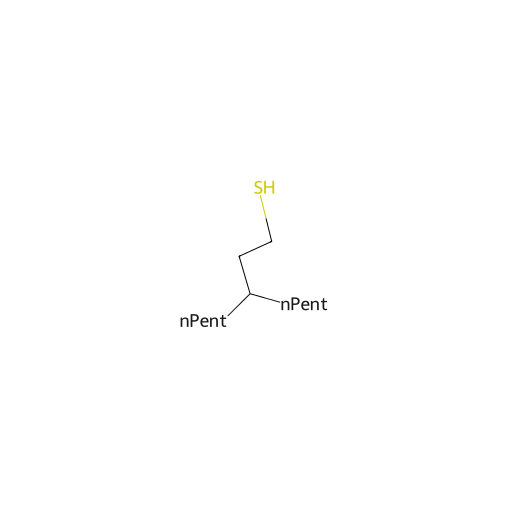 CCCCCC(CCS)CCCCC